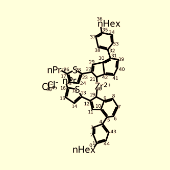 CCCCCCc1ccc(-c2cccc3c2C=C(c2ccc(CCC)s2)[CH]3[Zr+2][CH]2C(c3ccc(CCC)s3)=Cc3c(-c4ccc(CCCCCC)cc4)cccc32)cc1.[Cl-].[Cl-]